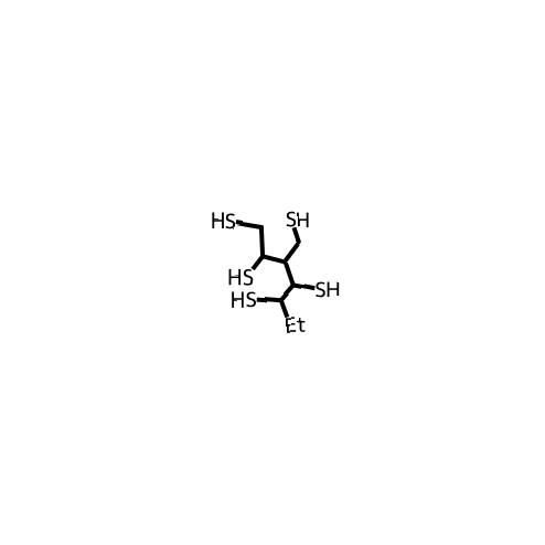 CCC(S)C(S)C(CS)C(S)CS